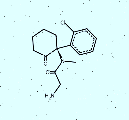 CN(C(=O)CN)[C@]1(c2ccccc2Cl)CCCCC1=O